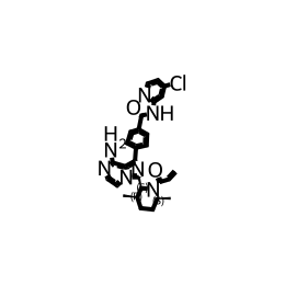 C=CC(=O)N1[C@H](c2nc(-c3ccc(C(=O)Nc4cc(Cl)ccn4)cc3)c3c(N)nccn23)[C@H](C)CC[C@@H]1C